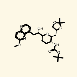 COc1ccc2nccc(C[C@H](O)[C@@H]3CC[C@@H](NC(=O)OC(C)(C)C)[C@H](C[C@@H]4COC(C)(C)O4)O3)c2n1